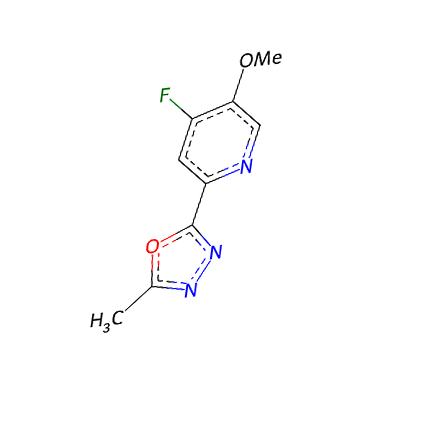 COc1cnc(-c2nnc(C)o2)cc1F